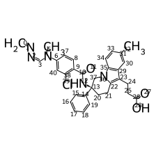 C=N/N=C\N(C)c1ccc(C(=O)N[C@]2(c3ccccc3)CCc3c(CCC(=O)O)c4cc(C)ccc4n3C2)c(Cl)c1